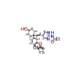 CCC(=O)Nc1ncc(C#C[C@]2(c3ccc(OC)c(OC4CCCC4)c3)CC[C@@H](O)CC2)cn1